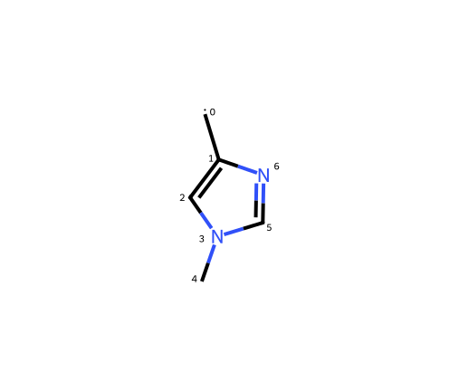 [CH2]c1cn(C)cn1